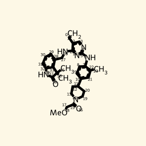 C=Cc1cnc(Nc2ccc(C3CCN(C(=O)COC)CC3)cc2C)nc1NCc1cccc2c1C(C)(C)C(=O)N2